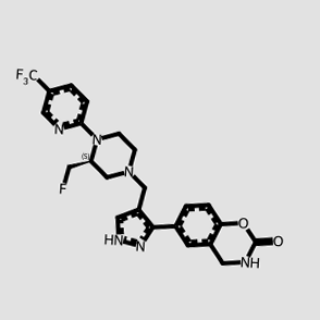 O=C1NCc2cc(-c3n[nH]cc3CN3CCN(c4ccc(C(F)(F)F)cn4)[C@H](CF)C3)ccc2O1